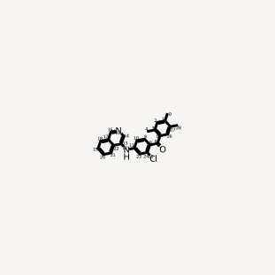 Cc1cc(C)c(C(=O)c2ccc(Nc3cncc4ccccc34)cc2Cl)cc1C